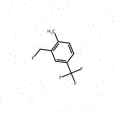 Cc1ccc(C(F)(F)F)cc1CF